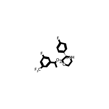 CC(O[C@H]1OCCN[C@H]1c1ccc(F)cc1)c1cc(F)cc(C(F)(F)F)c1